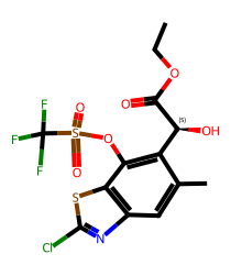 CCOC(=O)[C@@H](O)c1c(C)cc2nc(Cl)sc2c1OS(=O)(=O)C(F)(F)F